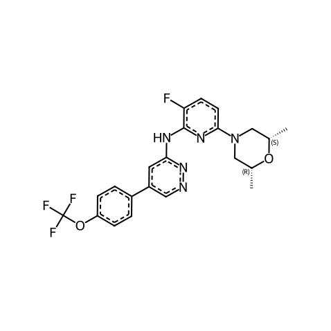 C[C@@H]1CN(c2ccc(F)c(Nc3cc(-c4ccc(OC(F)(F)F)cc4)cnn3)n2)C[C@H](C)O1